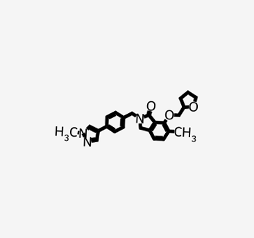 Cc1ccc2c(c1OCC1CCCO1)C(=O)N(Cc1ccc(-c3cnn(C)c3)cc1)C2